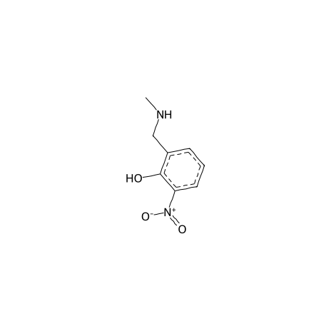 CNCc1cccc([N+](=O)[O-])c1O